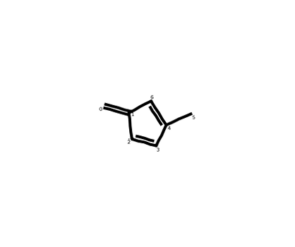 C=C1[C]=CC(C)=C1